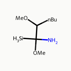 CCCCC(OC)C(N)([SiH3])OC